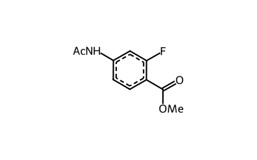 COC(=O)c1ccc(NC(C)=O)cc1F